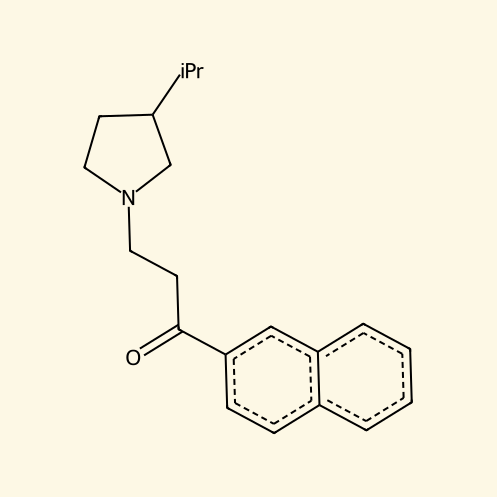 CC(C)C1CCN(CCC(=O)c2ccc3ccccc3c2)C1